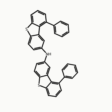 c1ccc(-c2cccc3sc4ccc(Nc5ccc6sc7cccc(-c8ccccc8)c7c6c5)cc4c23)cc1